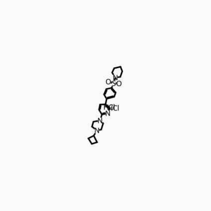 Cl.Cl.O=S(=O)(c1ccc(-c2ccc(N3CCN(C4CCC4)CC3)nc2)cc1)N1CCCCC1